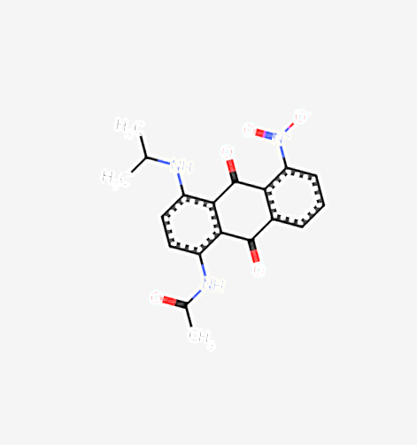 CC(=O)Nc1ccc(NC(C)C)c2c1C(=O)c1cccc([N+](=O)[O-])c1C2=O